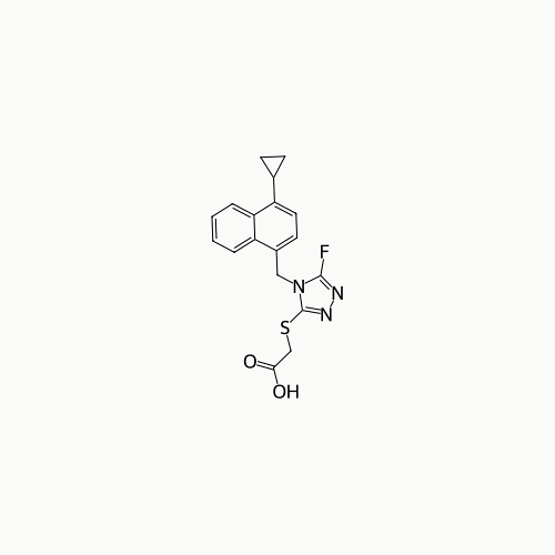 O=C(O)CSc1nnc(F)n1Cc1ccc(C2CC2)c2ccccc12